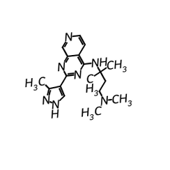 Cc1n[nH]cc1-c1nc(NC(C)(C)CCN(C)C)c2ccncc2n1